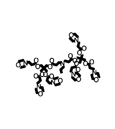 CCCN(CCC(=O)OCC(COC(=O)CCN1CCOCC1)(COC(=O)CCN1CCOCC1)COC(=O)CCN1CCOCC1)CCC(=O)OCC(COC(=O)CCN1CCOCC1)(COC(=O)CCN1CCOCC1)COC(=O)CCN1CCOCC1